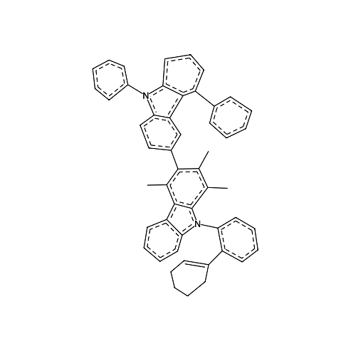 Cc1c(-c2ccc3c(c2)c2c(-c4ccccc4)cccc2n3-c2ccccc2)c(C)c2c3ccccc3n(-c3ccccc3C3=CCCCC3)c2c1C